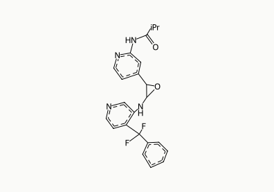 CC(C)C(=O)Nc1cc(C2OC2Nc2cnccc2C(F)(F)c2ccccc2)ccn1